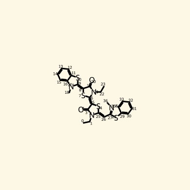 CCn1c(=O)/c(=c2\s/c(=C3/Sc4ccccc4N3C)c(=O)n2CC)s/c1=C\c1sc2ccccc2[n+]1C